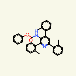 Cc1ccccc1-c1cc(-c2ccccc2C)c(NC(=O)Oc2ccccc2)c(-c2ccccc2C)n1